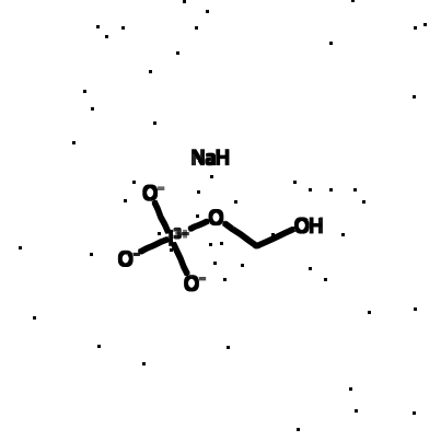 [NaH].[O-][I+3]([O-])([O-])OCO